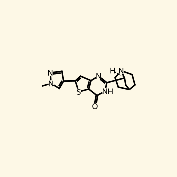 Cn1cc(-c2cc3nc([C@@H]4CC5CCN4CC5)[nH]c(=O)c3s2)cn1